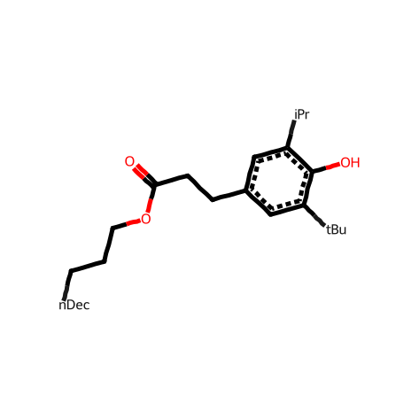 CCCCCCCCCCCCCOC(=O)CCc1cc(C(C)C)c(O)c(C(C)(C)C)c1